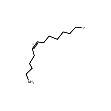 NCCCC/C=C\CCCCCCBr